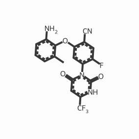 Cc1cccc(N)c1Oc1cc(-n2c(=O)cc(C(F)(F)F)[nH]c2=O)c(F)cc1C#N